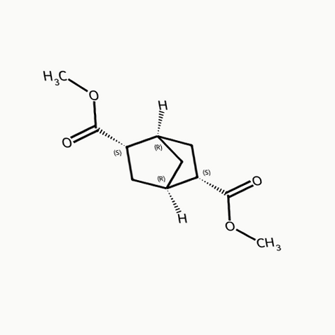 COC(=O)[C@H]1C[C@H]2C[C@@H]1C[C@@H]2C(=O)OC